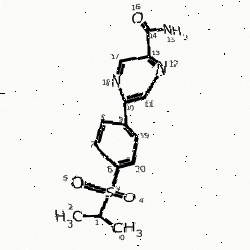 CC(C)S(=O)(=O)c1ccc(-c2cnc(C(N)=O)cn2)cc1